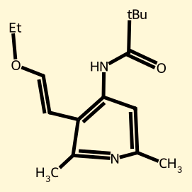 CCOC=Cc1c(NC(=O)C(C)(C)C)cc(C)nc1C